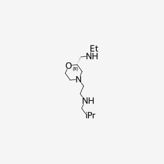 CCNC[C@@H]1CN(CCNCC(C)C)CCO1